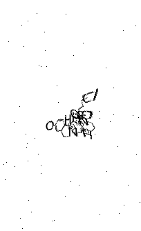 COc1ccc2c(c1)CCN1C[C@H]3CCCN(S(=O)(=O)CCCCl)[C@H]3C[C@@H]21